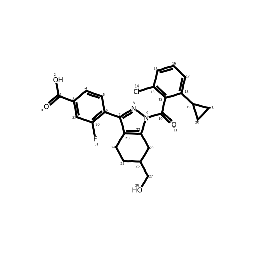 O=C(O)c1ccc(-c2nn(C(=O)c3c(Cl)cccc3C3CC3)c3c2CCC(CO)C3)c(F)c1